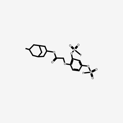 CC1CC2CC(C1)CC(OC(=O)COc1ccc(OS(=O)(=O)F)cc1OS(=O)(=O)F)C2